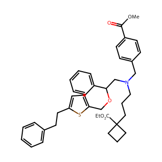 CCOC(=O)C1(CCCN(Cc2ccc(C(=O)OC)cc2)CC(OCc2ccc(CCc3ccccc3)s2)c2ccccc2)CCC1